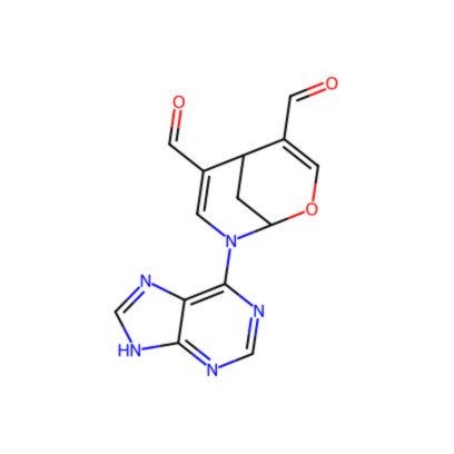 O=CC1=COC2CC1C(C=O)=CN2c1ncnc2[nH]cnc12